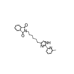 Cc1cccc(-c2nc(CCCCCCN3C(=O)c4ccccc4C3=O)c[nH]2)n1